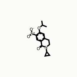 CC(C)Oc1cc2c(cc1[N+](=O)[O-])C(=O)N(C1CC1)CC2